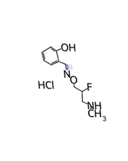 CNCC(F)CO/N=C/c1ccccc1O.Cl